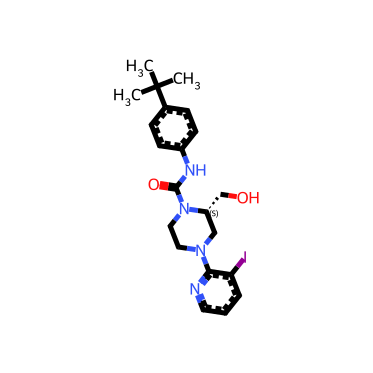 CC(C)(C)c1ccc(NC(=O)N2CCN(c3ncccc3I)C[C@H]2CO)cc1